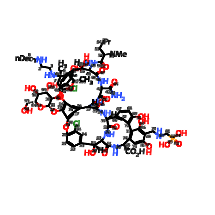 CCCCCCCCCCNCCN[C@@]1(C)C[C@H](O[C@H]2[C@H](Oc3c4cc5cc3Oc3ccc(cc3Cl)[C@@H](O)C3NC(=O)[C@H](NC(=O)[C@@H]5NC(=O)C(C(N)=O)NC(=O)C(NC(=O)[C@@H](CC(C)C)NC)[C@H](O)c5ccc(c(Cl)c5)O4)c4ccc(O)c(c4)-c4c(cc(O)c(CNCP(=O)(O)O)c4O)[C@@H](C(=O)O)NC3=O)O[C@H](CO)[C@@H](O)[C@@H]2O)O[C@@H](C)[C@H]1O